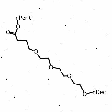 CCCCCCCCCCOCCOCCOCCOCCCC(=O)OCCCCC